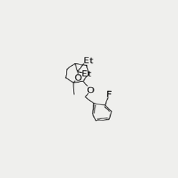 CCC1(CC)OC2(C)CCC1CCC2OCc1ccccc1F